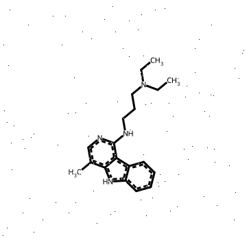 CCN(CC)CCCNc1ncc(C)c2[nH]c3ccccc3c12